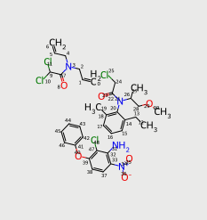 C=CCN(CC=C)C(=O)C(Cl)Cl.CCc1cccc(C)c1N(C(=O)CCl)C(C)COC.Nc1c([N+](=O)[O-])ccc(Oc2ccccc2)c1Cl